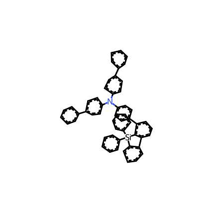 c1ccc(-c2ccc(N(c3ccc(-c4ccccc4)cc3)c3ccc(-c4cccc5c4[Si](c4ccccc4)(c4ccccc4)c4ccccc4-5)cc3)cc2)cc1